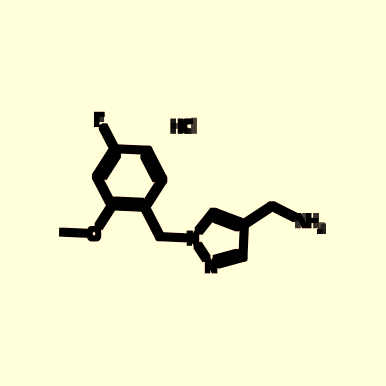 COc1cc(F)ccc1Cn1cc(CN)cn1.Cl